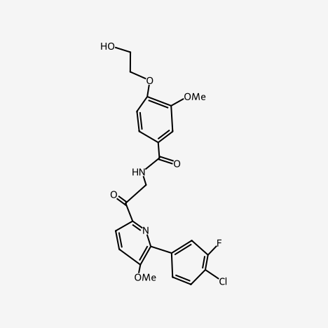 COc1cc(C(=O)NCC(=O)c2ccc(OC)c(-c3ccc(Cl)c(F)c3)n2)ccc1OCCO